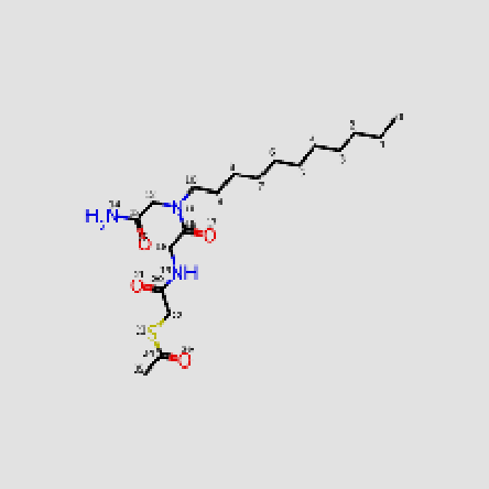 CCCCCCCCCCCN(CC(N)=O)C(=O)CNC(=O)CSC(C)=O